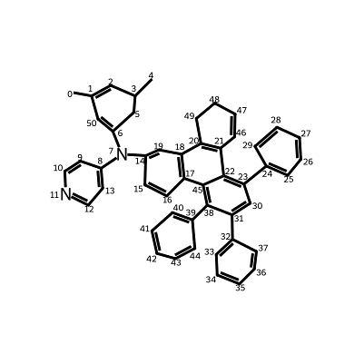 CC1=CC(C)CC(N(c2ccncc2)c2ccc3c(c2)c2c(c4c(-c5ccccc5)cc(-c5ccccc5)c(-c5ccccc5)c43)C=CCC2)=C1